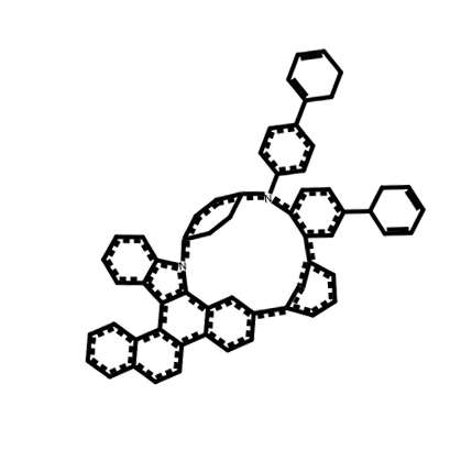 C1=CCCC(c2ccc(-n3c4ccc(n5c6ccccc6c6c7c8ccccc8ccc7c7ccc(cc7c65)c5cccc(c5)c5cc(C6C=CC=CC6)ccc53)CC4)cc2)=C1